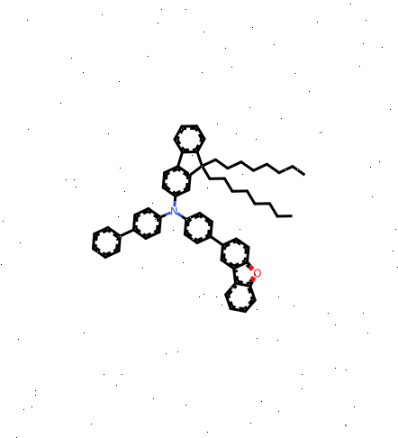 CCCCCCCCC1(CCCCCCCC)c2ccccc2-c2ccc(N(c3ccc(-c4ccccc4)cc3)c3ccc(-c4ccc5oc6ccccc6c5c4)cc3)cc21